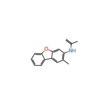 C=C(C)Nc1cc2oc3ccccc3c2cc1C